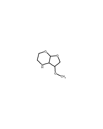 COC1COC2OCCNC12